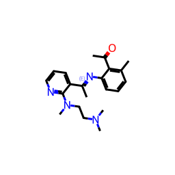 CC(=O)c1c(C)cccc1/N=C(\C)c1cccnc1N(C)CCN(C)C